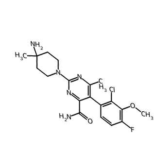 COc1c(F)ccc(-c2c(C)nc(N3CCC(C)(N)CC3)nc2C(N)=O)c1Cl